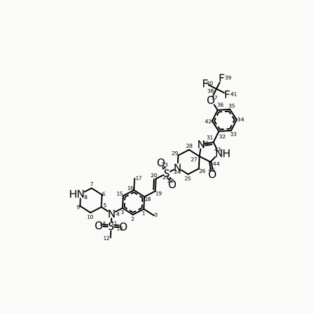 Cc1cc(N(C2CCNCC2)S(C)(=O)=O)cc(C)c1C=CS(=O)(=O)N1CCC2(CC1)N=C(c1cccc(OC(F)(F)F)c1)NC2=O